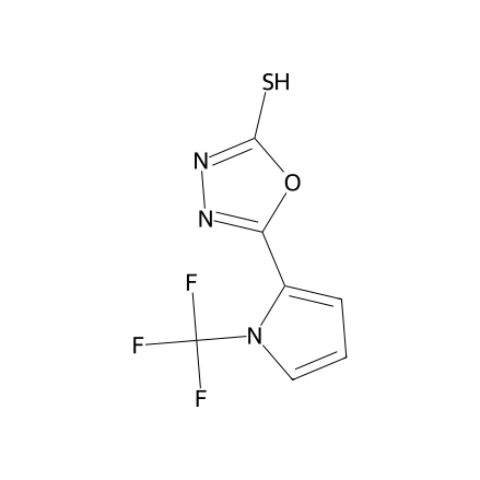 FC(F)(F)n1cccc1-c1nnc(S)o1